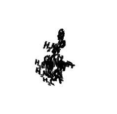 CC(C)c1cc(N)n(-c2ccc(CC(C)c3cc(N)n(-c4ccc(CC(C)c5cc(N)n(-c6cccc(N7CCOCC7)n6)n5)c(N(C)C)n4)n3)c(F)n2)n1